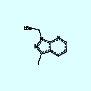 CC(C)(C)Cn1nc(I)c2cccnc21